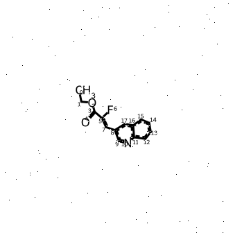 CCOC(=O)C(F)=Cc1cnc2ccccc2c1